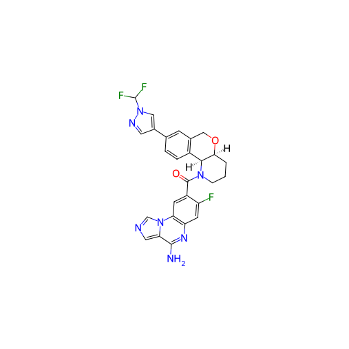 Nc1nc2cc(F)c(C(=O)N3CCC[C@@H]4OCc5cc(-c6cnn(C(F)F)c6)ccc5[C@@H]43)cc2n2cncc12